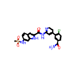 CS(=O)(=O)Nc1ccc2cc(C(=O)Nc3cc(-c4cc(C(N)=O)ccc4Cl)ccn3)[nH]c2c1